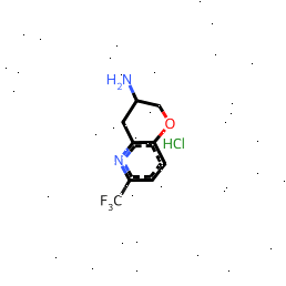 Cl.NC1COc2ccc(C(F)(F)F)nc2C1